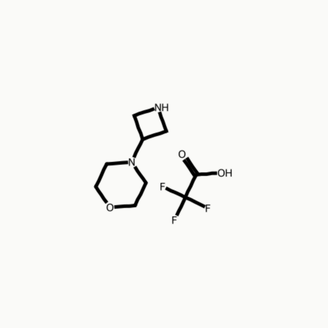 C1CN(C2CNC2)CCO1.O=C(O)C(F)(F)F